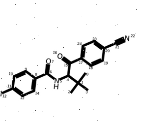 CC(C)(C)C(NC(=O)c1ccc(Cl)cc1)C(=O)c1ccc(C#N)cc1